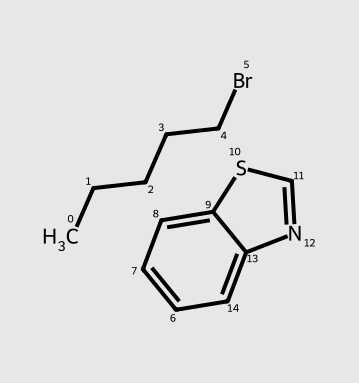 CCCCCBr.c1ccc2scnc2c1